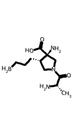 BCCC[C@H]1CN(C(=O)[C@H](C)N)C[C@@]1(N)C(=O)O